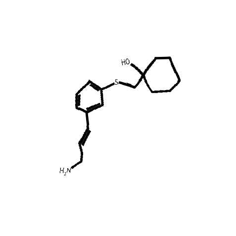 NCC=Cc1cccc(SCC2(O)CCCCC2)c1